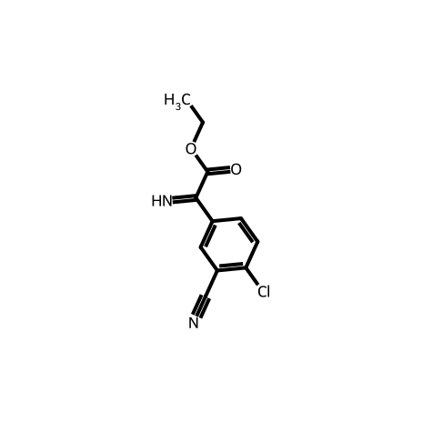 CCOC(=O)C(=N)c1ccc(Cl)c(C#N)c1